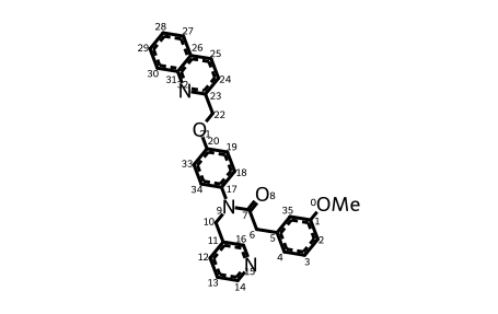 COc1cccc(CC(=O)N(Cc2cccnc2)c2ccc(OCc3ccc4ccccc4n3)cc2)c1